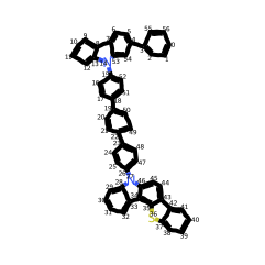 c1ccc(-c2ccc3c4ccccc4n(-c4ccc(-c5ccc(-c6ccc(-n7c8ccccc8c8c9sc%10ccccc%10c9ccc87)cc6)cc5)cc4)c3c2)cc1